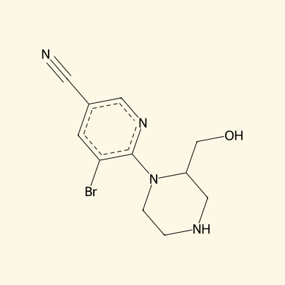 N#Cc1cnc(N2CCNCC2CO)c(Br)c1